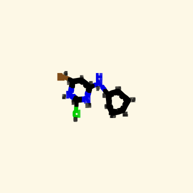 Clc1nc(Br)cc(Nc2c[c]ccc2)n1